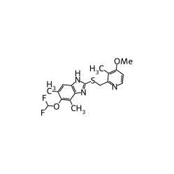 COc1ccnc(CSc2nc3c(C)c(OC(F)F)c(C)cc3[nH]2)c1C